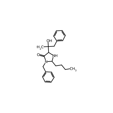 [CH2]C(O)(Cc1ccccc1)C1NC(CCCC)N(Cc2ccccc2)C1=O